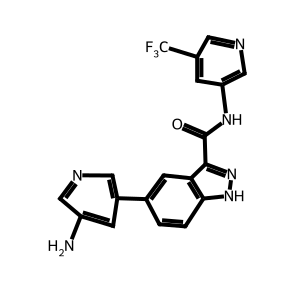 Nc1cncc(-c2ccc3[nH]nc(C(=O)Nc4cncc(C(F)(F)F)c4)c3c2)c1